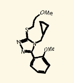 COCCSc1nnc(-c2ccccc2OC)n1CC1CC1